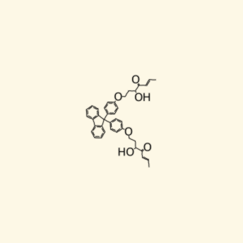 CC=CC(=O)C(O)CCOc1ccc(C2(c3ccc(OCCC(O)C(=O)C=CC)cc3)c3ccccc3-c3ccccc32)cc1